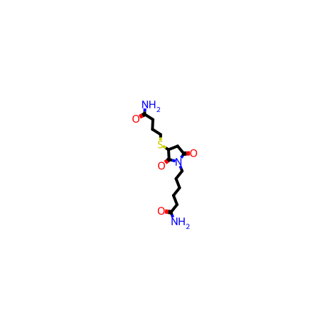 NC(=O)CCCCCN1C(=O)CC(SCCCC(N)=O)C1=O